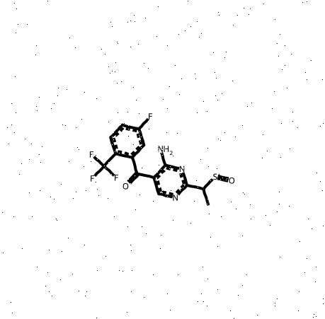 CC([S+]=O)c1ncc(C(=O)c2cc(F)ccc2C(F)(F)F)c(N)n1